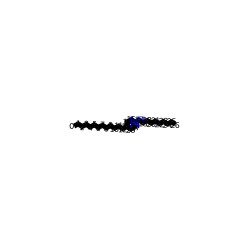 CCCCCCCCCCCCCc1cc[n+](CCCCCCCCCC)cc1